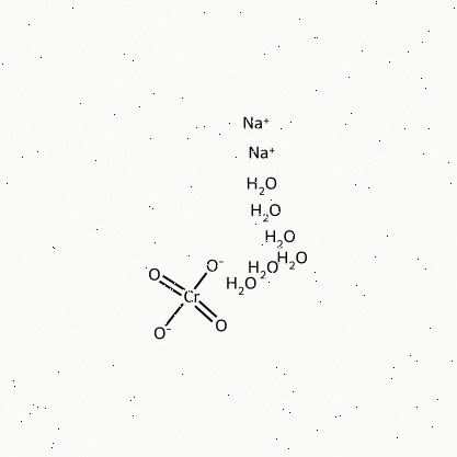 O.O.O.O.O.O.[Na+].[Na+].[O]=[Cr](=[O])([O-])[O-]